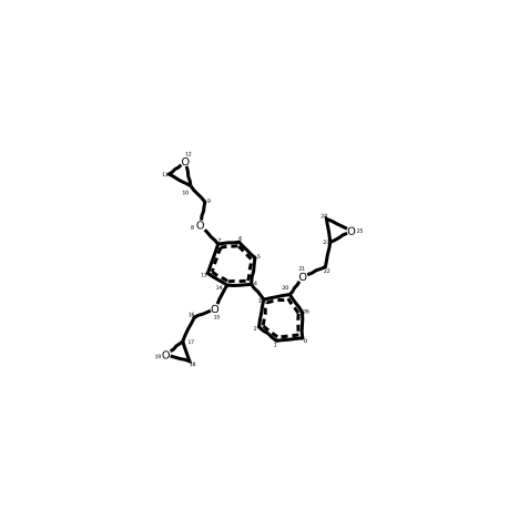 c1ccc(-c2ccc(OCC3CO3)cc2OCC2CO2)c(OCC2CO2)c1